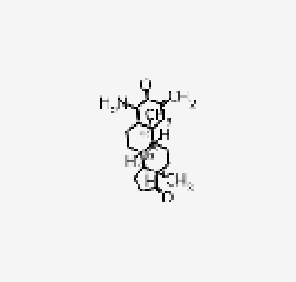 C=C1C[C@@]2(C)C(=C(N)C1=O)CC[C@@H]1[C@H]2CC[C@]2(C)C(=O)CC[C@@H]12